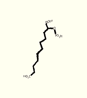 CCCCCCCCC(CCCCCCCCC(=O)O)OS(=O)(=O)O